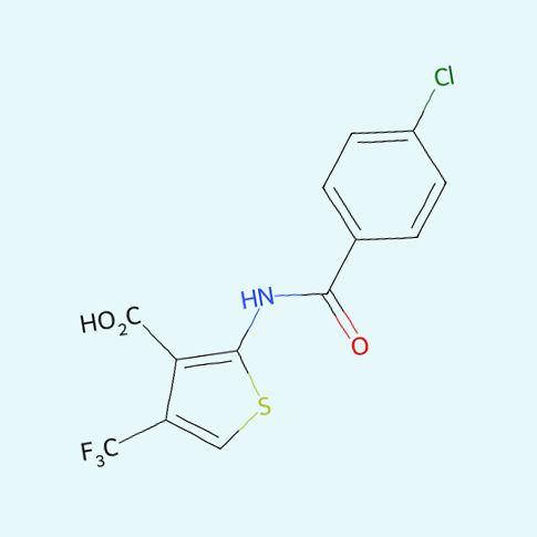 O=C(Nc1scc(C(F)(F)F)c1C(=O)O)c1ccc(Cl)cc1